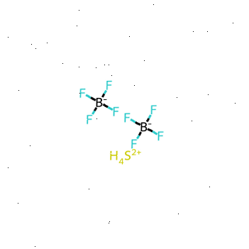 F[B-](F)(F)F.F[B-](F)(F)F.[SH4+2]